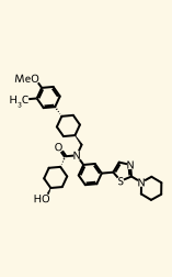 COc1ccc([C@H]2CC[C@H](CN(c3cccc(-c4cnc(N5CCCCC5)s4)c3)C(=O)[C@H]3CC[C@H](O)CC3)CC2)cc1C